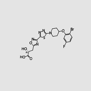 O=C(O)[C@H](O)Cc1nc(-c2nnc(N3CCC(Oc4cc(F)ccc4Br)CC3)s2)no1